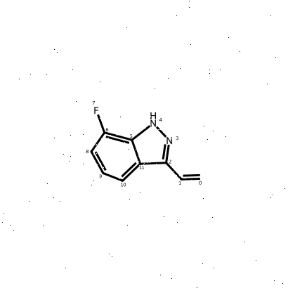 C=Cc1n[nH]c2c(F)cccc12